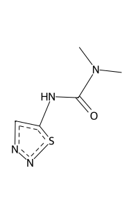 CN(C)C(=O)Nc1cnns1